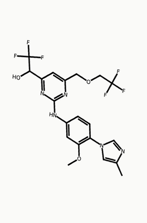 COc1cc(Nc2nc(COCC(F)(F)F)cc(C(O)C(F)(F)F)n2)ccc1-n1cnc(C)c1